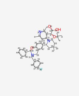 Cc1nc(C)c([C@H](OC(C)(C)C)C(=O)O)c(N2CCC(C)(C)CC2)c1-c1ccc(CN(Cc2ccc(F)cc2)C(=O)c2ccccc2)cc1